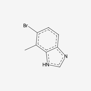 Cc1c(Br)ccc2nc[nH]c12